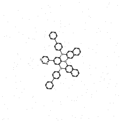 c1ccc(-c2ccc(N3c4cc5ccccc5cc4B4c5cc6ccccc6cc5N(c5ccc(-c6ccccc6)cc5)c5cc(-c6ccncn6)cc3c54)cc2)cc1